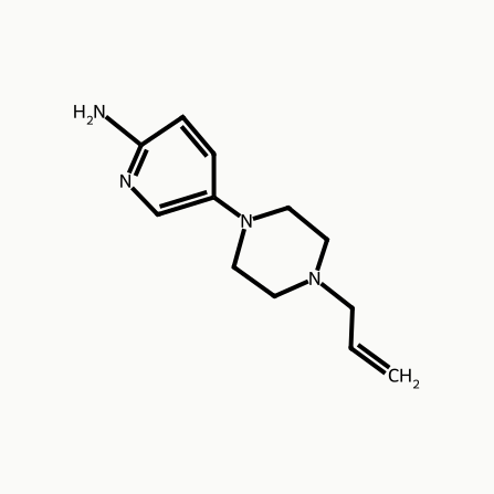 C=CCN1CCN(c2ccc(N)nc2)CC1